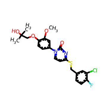 COc1cc(-n2ccc(SCc3ccc(F)c(Cl)c3)nc2=O)ccc1OCC(C)(C)O